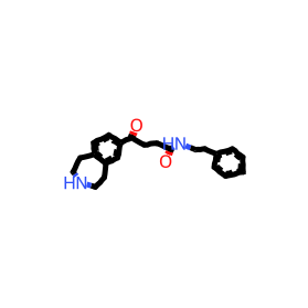 O=C(CCC(=O)c1ccc2c(c1)CCNCC2)NCCc1ccccc1